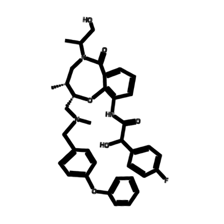 CC(CO)N1C[C@@H](C)[C@@H](CN(C)Cc2ccc(Oc3ccccc3)cc2)Oc2c(NC(=O)C(O)c3ccc(F)cc3)cccc2C1=O